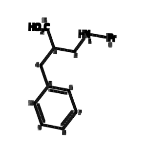 CC(C)NCC(Cc1ccccc1)C(=O)O